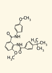 COc1ccc(NC(=O)c2cccc(OC)c2NC(=O)c2ccc(C(C)(C)C)cc2)cc1